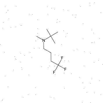 CN(CCCC(F)(F)F)C(C)(C)C